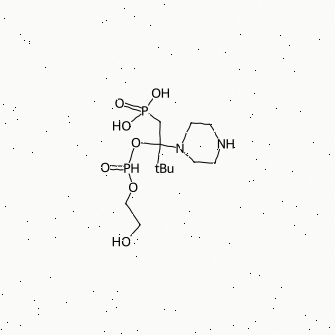 CC(C)(C)C(CP(=O)(O)O)(O[PH](=O)OCCO)N1CCNCC1